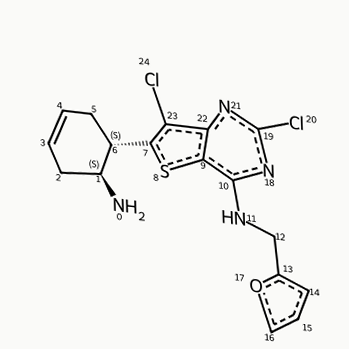 N[C@H]1CC=CC[C@@H]1c1sc2c(NCc3ccco3)nc(Cl)nc2c1Cl